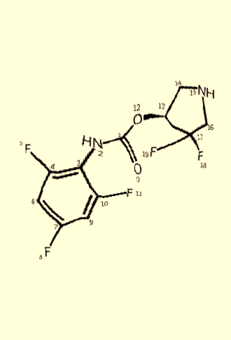 O=C(Nc1c(F)cc(F)cc1F)O[C@H]1CNCC1(F)F